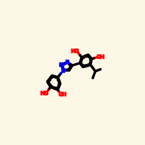 CC(C)c1cc(-c2cn(-c3ccc(O)c(O)c3)nn2)c(O)cc1O